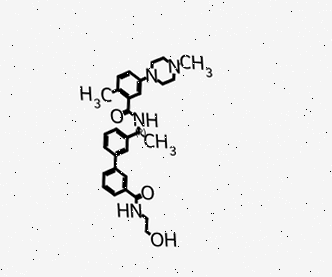 Cc1ccc(N2CCN(C)CC2)cc1C(=O)N[C@H](C)c1cccc(-c2cccc(C(=O)NCCO)c2)c1